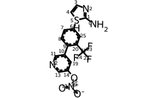 NC1=NC=C[SH]1c1ccc(-c2cncc(O[N+](=O)[O-])c2)c(C(F)(F)F)c1